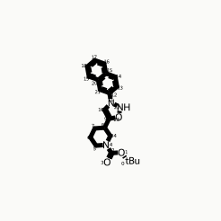 CC(C)(C)OC(=O)N1CCCC(C2=CN(c3ccc4ccccc4c3)NO2)C1